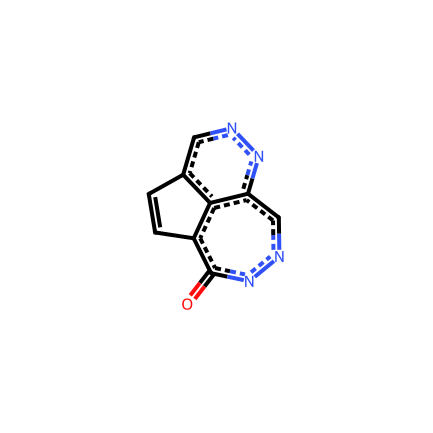 O=c1nncc2nncc3c2c1C=C3